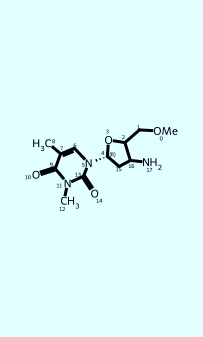 COCC1O[C@@H](n2cc(C)c(=O)n(C)c2=O)CC1N